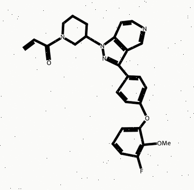 C=CC(=O)N1CCCC(n2nc(-c3ccc(Oc4cccc(F)c4OC)cc3)c3cnccc32)C1